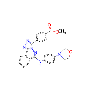 COC(=O)c1ccc(-c2nnc3c4ccccc4c(Nc4ccc(N5CCOCC5)cc4)nn23)cc1